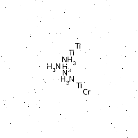 N.N.N.N.[Cr].[Ti].[Ti].[Ti]